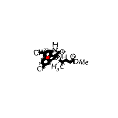 COC(=O)CCC(C)CNC1(Cc2cccc(Cl)c2)C(=O)Nc2cc(Cl)ccc21